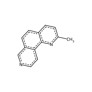 Cc1ccc2ccc3cnccc3c2n1